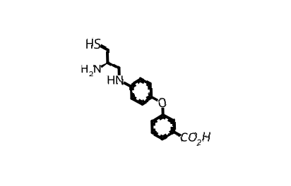 N[C@@H](CS)CNc1ccc(Oc2cccc(C(=O)O)c2)cc1